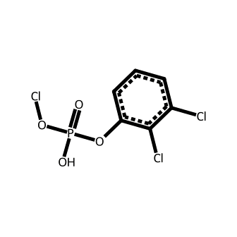 O=P(O)(OCl)Oc1cccc(Cl)c1Cl